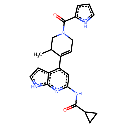 CC1CN(C(=O)c2ccc[nH]2)CC=C1c1cc(NC(=O)C2CC2)nc2[nH]ccc12